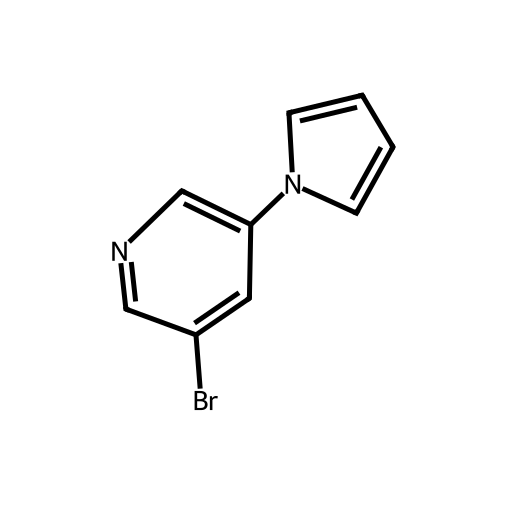 Brc1cncc(-n2cccc2)c1